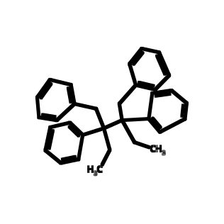 CCC(Cc1ccccc1)(c1ccccc1)C(CC)(Cc1ccccc1)c1ccccc1